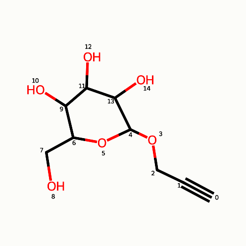 C#CCOC1OC(CO)C(O)C(O)C1O